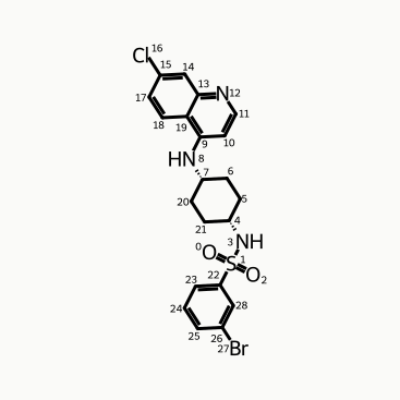 O=S(=O)(N[C@H]1CC[C@@H](Nc2ccnc3cc(Cl)ccc23)CC1)c1cccc(Br)c1